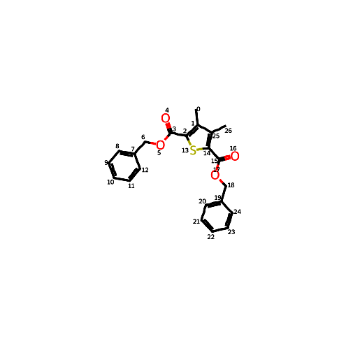 Cc1c(C(=O)OCc2ccccc2)sc(C(=O)OCc2ccccc2)c1C